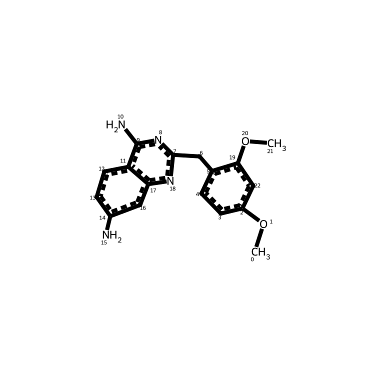 COc1ccc(Cc2nc(N)c3ccc(N)cc3n2)c(OC)c1